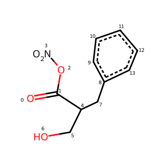 O=C(O[N+](=O)[O-])C(CO)Cc1ccccc1